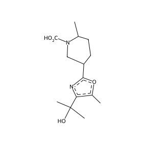 Cc1oc(C2CCC(C)N(C(=O)O)C2)nc1C(C)(C)O